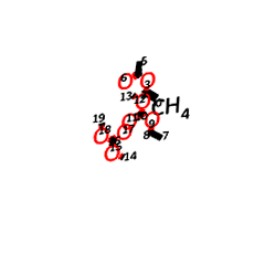 C.C=COC(C)=O.CCOC(=O)OC.COC(=O)OC